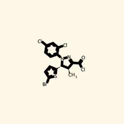 C[C@H]1C(C(=O)Cl)=NN(c2ccc(Cl)cc2Cl)[C@H]1c1ccc(Br)s1